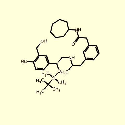 C[C@H](Cc1cccc(CC(=O)NC2CCCCCC2)c1)NC[C@@H](O[Si](C)(C)C(C)(C)C)c1ccc(O)c(CO)c1